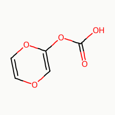 O=C(O)OC1=COC=CO1